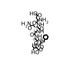 CC(C)[C@H](NC(=O)[C@H](Cc1ccccc1)NC(=O)[C@H](C)NC(=O)[C@H](C)NC(=O)[C@H](CCC(N)=O)NC(=O)[C@@H](N)CC(=O)O)C(=O)O